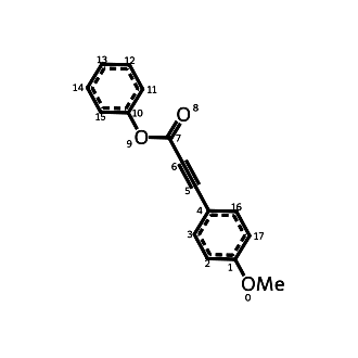 COc1ccc(C#CC(=O)Oc2ccccc2)cc1